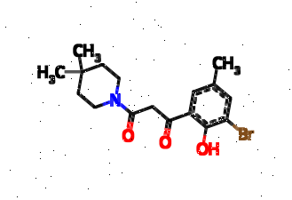 Cc1cc(Br)c(O)c(C(=O)CC(=O)N2CCC(C)(C)CC2)c1